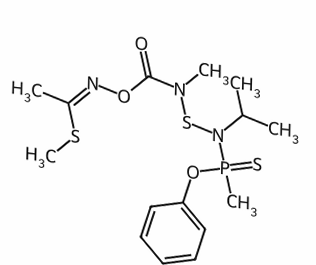 CSC(C)=NOC(=O)N(C)SN(C(C)C)P(C)(=S)Oc1ccccc1